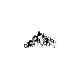 CC(C)(C)[Si](C)(C)OCC[C@@H]1C[C@@H]1C1CCN(c2ccc(C=O)cn2)CC1